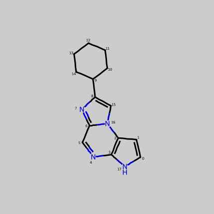 c1cc2c(ncc3nc(C4CCCCC4)cn32)[nH]1